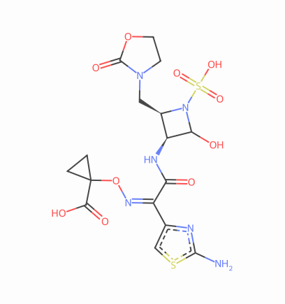 Nc1nc(/C(=N/OC2(C(=O)O)CC2)C(=O)N[C@@H]2C(O)N(S(=O)(=O)O)[C@@H]2CN2CCOC2=O)cs1